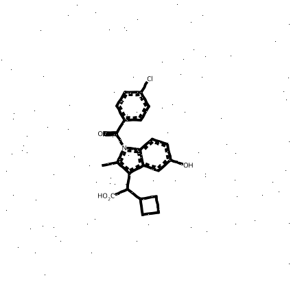 Cc1c(C(C(=O)O)C2CCC2)c2cc(O)ccc2n1C(=O)c1ccc(Cl)cc1